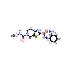 CCCCNC(=O)N1CCc2nc(C(=O)Nc3ccccc3N)sc2C1